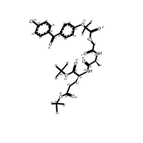 C[C@H](NC(=O)COC(=O)C(C)(C)Oc1ccc(C(=O)c2ccc(Cl)cc2)cc1)C(=O)N[C@@H](CCC(=O)OC(C)(C)C)C(=O)OC(C)(C)C